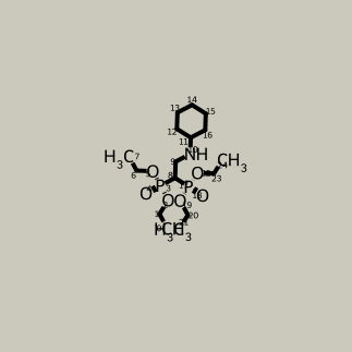 CCOP(=O)(OCC)C(CNC1CCCCC1)P(=O)(OCC)OCC